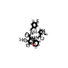 Cn1nccc1C(=O)NC12CCC(CC1)Cn1c2nc(C(=O)NCc2ccc(F)cc2)c(O)c1=O